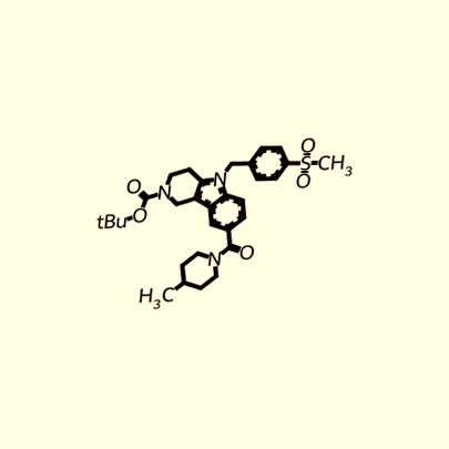 CC1CCN(C(=O)c2ccc3c(c2)c2c(n3Cc3ccc(S(C)(=O)=O)cc3)CCN(C(=O)OC(C)(C)C)C2)CC1